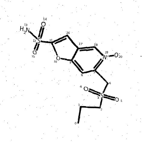 CCCS(=O)(=O)Cc1cc2oc(S(N)(=O)=O)cc2c[n+]1[O-]